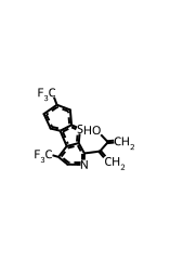 C=C(O)C(=C)c1ncc(C(F)(F)F)c2c1sc1cc(C(F)(F)F)ccc12